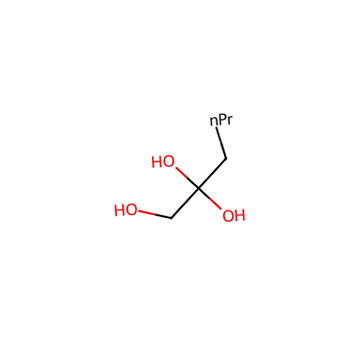 CCCCC(O)(O)CO